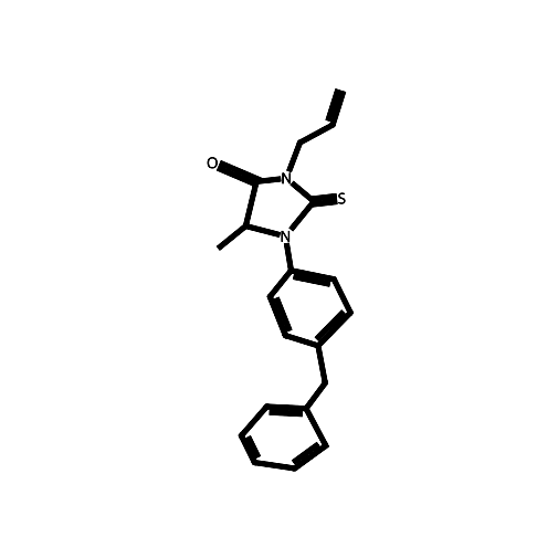 C=CCN1C(=O)C(C)N(c2ccc(Cc3ccccc3)cc2)C1=S